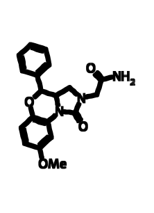 COc1ccc2c(c1)N1C(=O)N(CC(N)=O)CC1C(c1ccccc1)O2